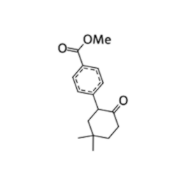 COC(=O)c1ccc(C2CC(C)(C)CCC2=O)cc1